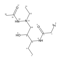 [3H]CC(=O)NC(CC)C(O)CN(CC)NC(C)=O